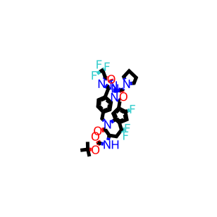 CC(C)(C)OC(=O)NC1CC(F)(F)c2cc(F)c(-c3nnc(N4CCCC4)o3)cc2N(Cc2ccc(-c3noc(C(F)(F)F)n3)cc2)C1=O